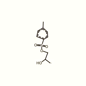 [CH2]C(O)COS(=O)(=O)c1ccc(C)cc1